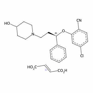 N#Cc1ccc(Cl)cc1O[C@H](CCN1CCC(O)CC1)c1ccccc1.O=C(O)/C=C/C(=O)O